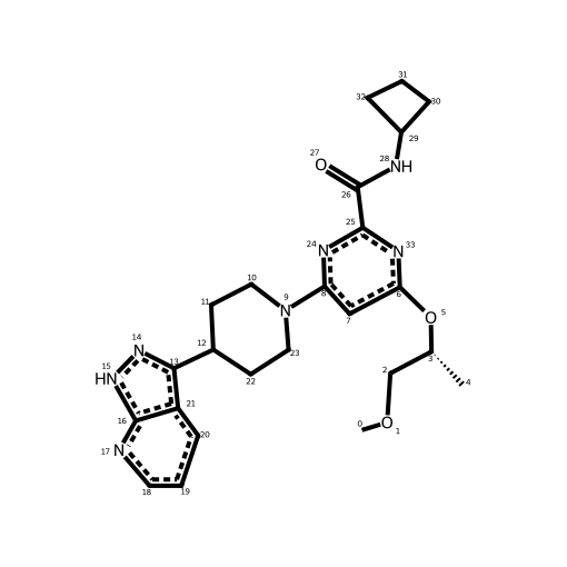 COC[C@@H](C)Oc1cc(N2CCC(c3n[nH]c4ncccc34)CC2)nc(C(=O)NC2CCC2)n1